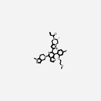 C=CC(=O)N1Cc2cc(-c3nc(N4CCc5c(cnn5C)C4)c4ccsc4c3-c3c(F)cc(F)cc3OCCOC)nn2C[C@H]1C